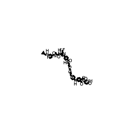 O=C1CCC(N2C(=O)c3ccc(NC4CCN(CCOCCOCCNC(=O)c5ccc(-n6cc(NC(=O)c7coc(-c8ccnc(NCC9CC9)c8)n7)c(C(F)F)n6)cc5)CC4)cc3C2=O)C(=O)N1